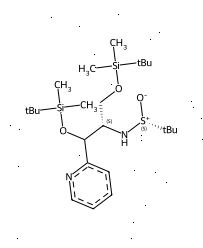 CC(C)(C)[S@@+]([O-])N[C@@H](CO[Si](C)(C)C(C)(C)C)C(O[Si](C)(C)C(C)(C)C)c1ccccn1